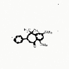 COc1cc(OC)c2c(c1)C(C)(C)CC(c1ccccc1)CC2=O